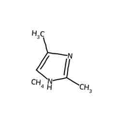 C.Cc1c[nH]c(C)n1